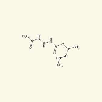 BB(ONC)OC(=O)NBNC(C)=O